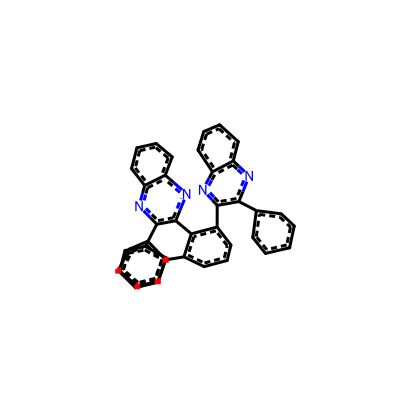 c1ccc(-c2cccc(-c3nc4ccccc4nc3-c3ccccc3)c2-c2nc3ccccc3nc2-c2ccccc2)cc1